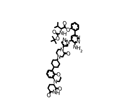 CC(C)[C@H](NC(=O)OC(C)(C)C)C(=O)Oc1ccccc1-c1cc(-n2cc(N3CCN(C4CCC(c5cccc6c5OCCN6[C@H]5CCC(=O)NC5=O)CC4)CC3=O)cn2)c(N)nn1